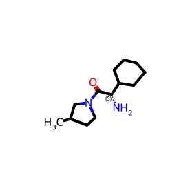 CC1CCN(C(=O)[C@@H](N)C2CCCCC2)C1